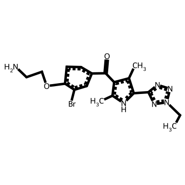 CCn1nnc(-c2[nH]c(C)c(C(=O)c3ccc(OCCN)c(Br)c3)c2C)n1